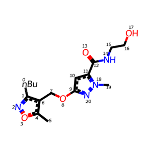 CCCCc1noc(C)c1COc1cc(C(=O)NCCO)n(C)n1